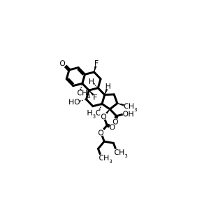 CCC(CC)OC(=O)O[C@]1(C(=O)O)[C@H](C)C[C@H]2[C@@H]3C[C@H](F)C4=CC(=O)C=C[C@]4(C)[C@@]3(F)[C@@H](O)C[C@@]21C